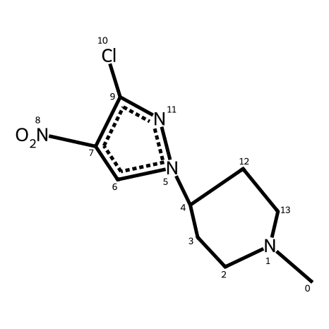 CN1CCC(n2cc([N+](=O)[O-])c(Cl)n2)CC1